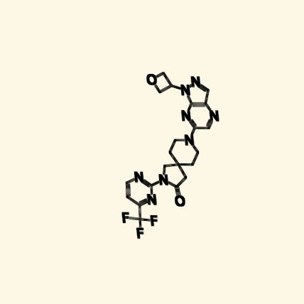 O=C1CC2(CCN(c3cnc4cnn(C5COC5)c4n3)CC2)CN1c1nccc(C(F)(F)F)n1